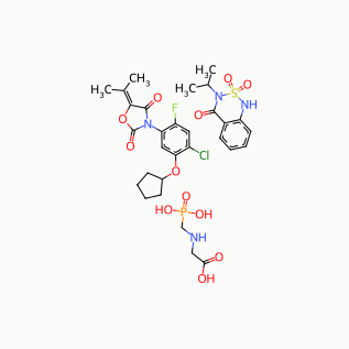 CC(C)=C1OC(=O)N(c2cc(OC3CCCC3)c(Cl)cc2F)C1=O.CC(C)N1C(=O)c2ccccc2NS1(=O)=O.O=C(O)CNCP(=O)(O)O